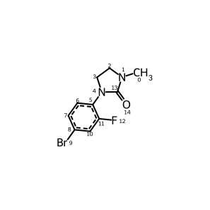 CN1CCN(c2ccc(Br)cc2F)C1=O